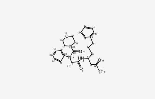 C[C@@H](C(=O)N[C@@H](CCCc1ccccc1)CC(N)=O)N(C(=O)N1CCOCC1)c1ccccc1